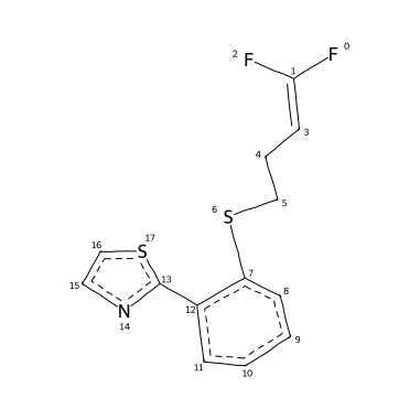 FC(F)=CCCSc1ccccc1-c1nccs1